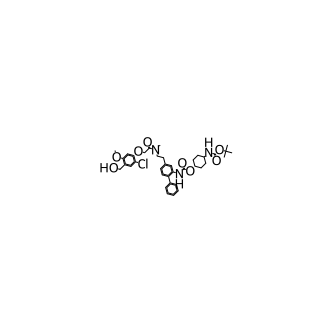 COc1cc(OCC(=O)N(C)CCc2ccc(-c3ccccc3)c(NC(=O)OC3CCC(NC(=O)OC(C)(C)C)CC3)c2)c(Cl)cc1CO